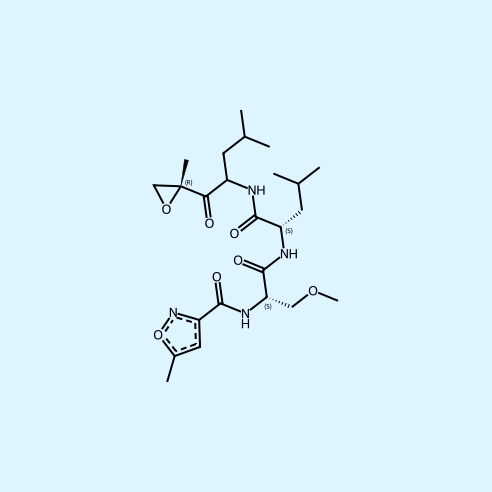 COC[C@H](NC(=O)c1cc(C)on1)C(=O)N[C@@H](CC(C)C)C(=O)NC(CC(C)C)C(=O)[C@@]1(C)CO1